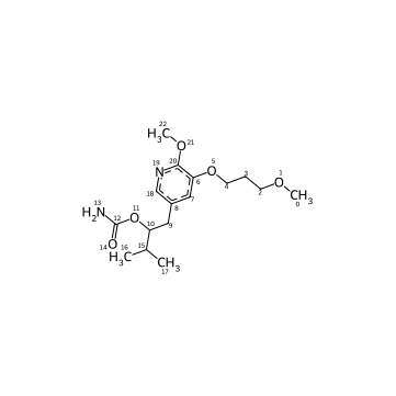 COCCCOc1cc(CC(OC(N)=O)C(C)C)cnc1OC